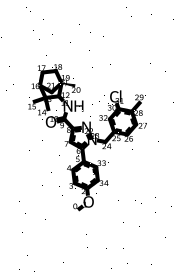 COc1ccc(-c2cc(C(=O)NC3C(C)(C)C4CC[C@@]3(C)C4)nn2Cc2ccc(C)c(Cl)c2)cc1